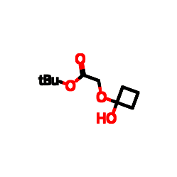 CC(C)(C)OC(=O)COC1(O)CCC1